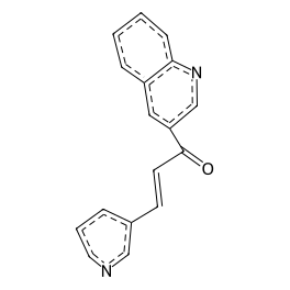 O=C(C=Cc1cccnc1)c1cnc2ccccc2c1